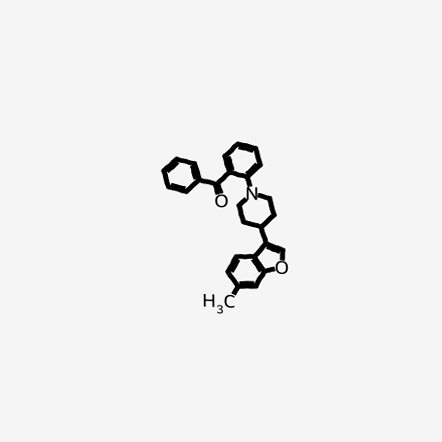 Cc1ccc2c(C3CCN(c4ccccc4C(=O)c4ccccc4)CC3)coc2c1